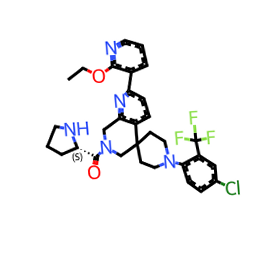 CCOc1ncccc1-c1ccc2c(n1)CN(C(=O)[C@@H]1CCCN1)CC21CCN(c2ccc(Cl)cc2C(F)(F)F)CC1